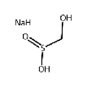 O=S(O)CO.[NaH]